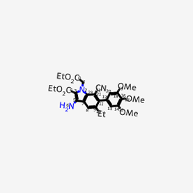 CCOC(=O)Cn1c(C(=O)OCC)c(N)c2cc(CC)c(-c3cc(OC)c(OC)c(OC)c3)c(C#N)c21